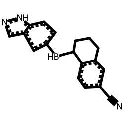 N#Cc1ccc2c(c1)CCCC2Bc1ccc2[nH]ncc2c1